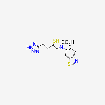 O=C(O)N(CC(S)CCc1nn[nH]n1)c1ccc2ncsc2c1